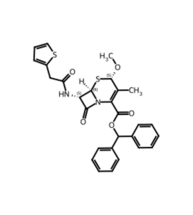 CO[C@H]1S[C@@H]2[C@@H](NC(=O)Cc3cccs3)C(=O)N2C(C(=O)OC(c2ccccc2)c2ccccc2)=C1C